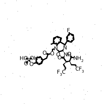 Cc1cccc2c1N(COC(=O)Cc1ccc(OP(=O)(O)O)cc1)C(=O)[C@@H](NC(=O)[C@H](CCC(F)(F)F)[C@H](CCC(F)(F)F)C(N)=O)N=C2c1cccc(F)c1